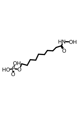 O=C(CCCCCCCCCOP(=O)(O)O)NO